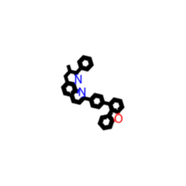 CC1Cc2ccc3ccc(-c4ccc(-c5cccc6oc7ccccc7c56)cc4)nc3c2N=C1c1ccccc1